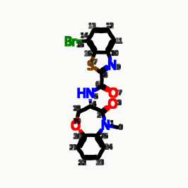 CN1C(=O)[C@@H](NC(=O)c2nc3cccc(Br)c3s2)COc2ccccc21